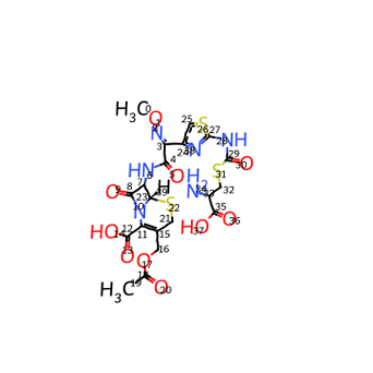 CON=C(C(=O)N[C@@H]1C(=O)N2C(C(=O)O)=C(COC(C)=O)CS[C@@H]12)c1csc(NC(=O)SC[C@H](N)C(=O)O)n1